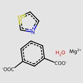 O.O=C([O-])c1cccc(C(=O)[O-])c1.[Mg+2].c1cscn1